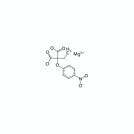 CCC(Oc1ccc([N+](=O)[O-])cc1)(C(=O)[O-])C(=O)[O-].[Mg+2]